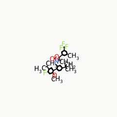 C=C(C)c1ccc(-c2cc(C(C)C)c(F)cc2OC)c(CN2C(=O)OC(c3cc(C)cc(C(F)(F)F)c3)[C@@H]2C)c1